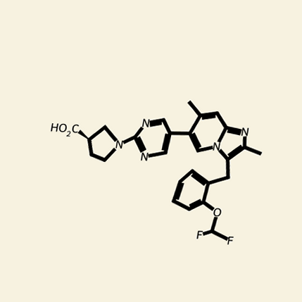 Cc1cc2nc(C)c(Cc3ccccc3OC(F)F)n2cc1-c1cnc(N2CC[C@@H](C(=O)O)C2)nc1